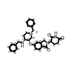 C[C@@H](c1ccccc1)N1CC[C@H](NCc2ccccc2)[C@@H](Oc2ccc3c(c2)CN(C2CCC(=O)NC2=O)C3=O)C1